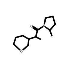 CC(C(=O)N1CCCC1C)C1CCCOC1